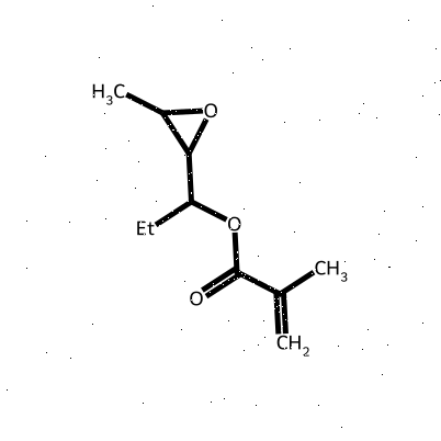 C=C(C)C(=O)OC(CC)C1OC1C